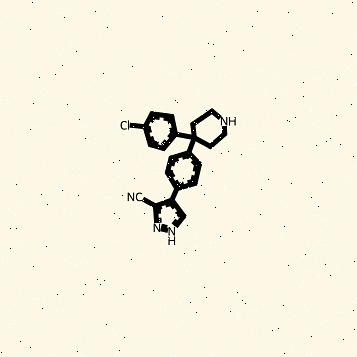 N#Cc1n[nH]cc1-c1ccc(C2(c3ccc(Cl)cc3)CCNCC2)cc1